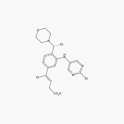 CCC(=CCC(=O)O)c1ccc([C@@H](CC)N2CCOCC2)c(Nc2cnc(CC)nc2)c1